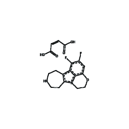 Fc1cc2c3c(c1F)c1c(n3CCO2)CCNCC1.O=C(O)/C=C\C(=O)O